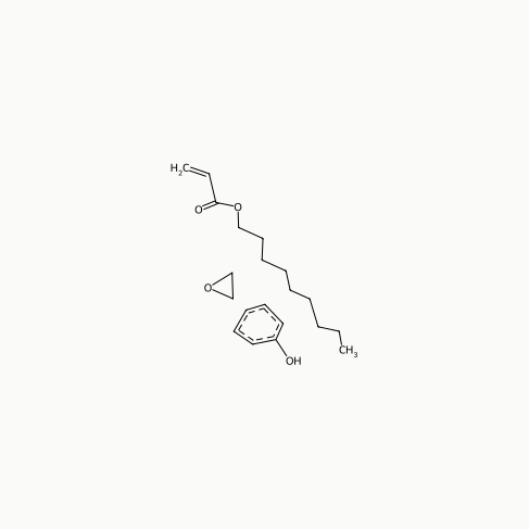 C1CO1.C=CC(=O)OCCCCCCCCC.Oc1ccccc1